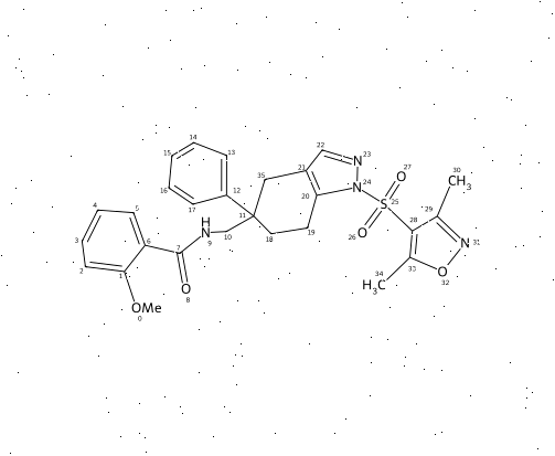 COc1ccccc1C(=O)NCC1(c2ccccc2)CCc2c(cnn2S(=O)(=O)c2c(C)noc2C)C1